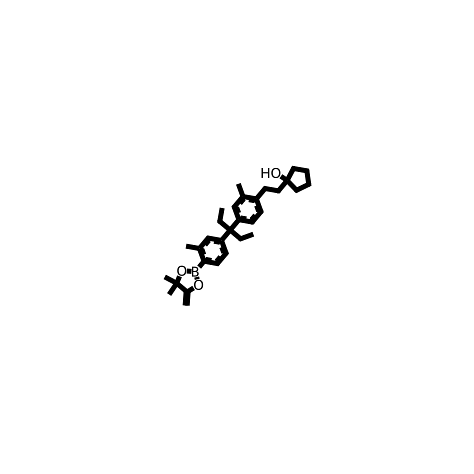 C=C1OB(c2ccc(C(CC)(CC)c3ccc(CCC4(O)CCCC4)c(C)c3)cc2C)OC1(C)C